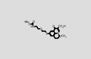 C[C@@H]1CCc2cc(SCCOCCNC(=O)OC(C)(C)C)cc3c(=O)c(C(=O)O)cn1c23